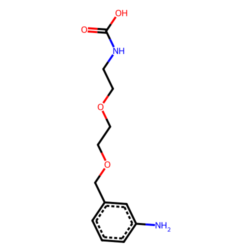 Nc1cccc(COCCOCCNC(=O)O)c1